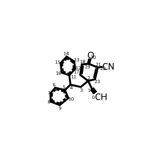 C#CC1(CC(c2ccccc2)c2ccccc2)C=CC(=O)C(C#N)=C1